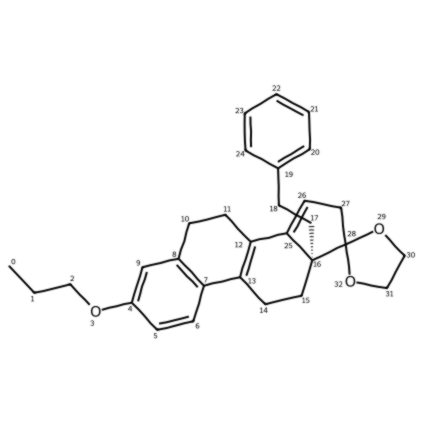 CCCOc1ccc2c(c1)CCC1=C2CC[C@@]2(CCc3ccccc3)C1=CCC21OCCO1